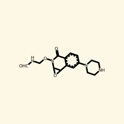 O=CNCON1C(=O)c2ccc(N3CCNCC3)cc2C2OC21